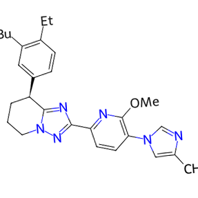 CCc1ccc([C@@H]2CCCn3nc(-c4ccc(-n5cnc(C)c5)c(OC)n4)nc32)cc1C(C)(C)C